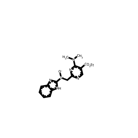 CCOC(=O)c1cnc(C[S+]([O-])c2nc3ccccc3[nH]2)nc1N(C)C